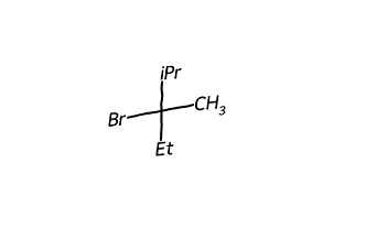 CCC(C)(Br)C(C)C